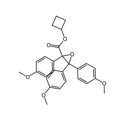 COc1ccc(C2(C(=O)OC3CCC3)OC2(c2ccc(OC)cc2)c2ccc(OC)cc2)cc1